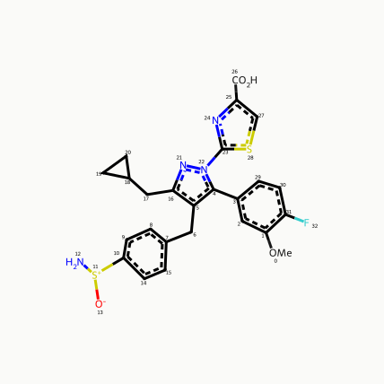 COc1cc(-c2c(Cc3ccc([S+](N)[O-])cc3)c(CC3CC3)nn2-c2nc(C(=O)O)cs2)ccc1F